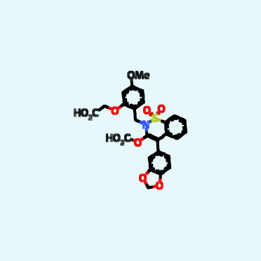 COc1ccc(CN2C(OC(=O)O)=C(c3ccc4c(c3)OCO4)c3ccccc3S2(=O)=O)c(OCC(=O)O)c1